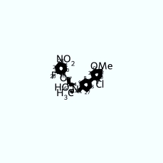 COc1ccc(Cl)c(-c2ccc(CN(C)CC(O)COc3ccc([N+](=O)[O-])cc3F)cc2)c1